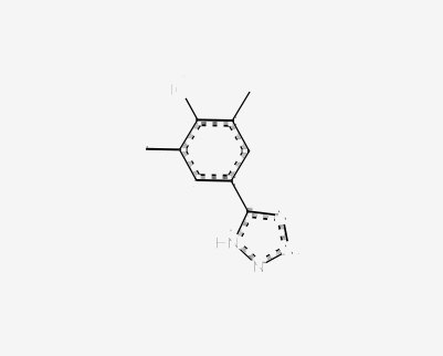 Cc1cc(-c2nnn[nH]2)cc(C)c1O